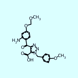 COCOc1ccc(C(=O)c2nnn(Cc3ccc(OC)cc3)c2C(=O)O)c(N)c1